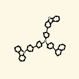 c1ccc2c(-c3ccc(N(c4ccc(-c5ccc(-n6c7ccccc7c7ccccc76)cc5)cc4)c4ccc(-c5ccc6oc7ccccc7c6c5)cc4)cc3)cccc2c1